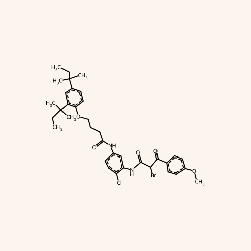 CCC(C)(C)c1ccc(OCCCC(=O)Nc2ccc(Cl)c(NC(=O)C(Br)C(=O)c3ccc(OC)cc3)c2)c(C(C)(C)CC)c1